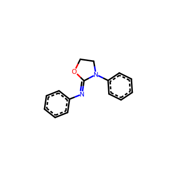 c1ccc(N=C2OCCN2c2ccccc2)cc1